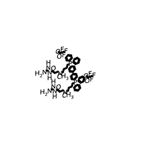 CN(CCCC[P+](c1ccccc1)(c1ccccc1)c1ccccc1)CCC(=O)NC(=N)N.CN(CCCC[P+](c1ccccc1)(c1ccccc1)c1ccccc1)CCC(=O)NC(=N)N.O=C([O-])C(F)(F)F.O=C([O-])C(F)(F)F